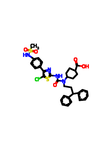 CS(=O)(=O)Nc1ccc(-c2nc(NC(=O)N(CCC(c3ccccc3)c3ccccc3)C3CCC(C(=O)O)CC3)sc2Cl)cc1